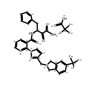 NC(=O)C(=O)C(Cc1ccccc1)NC(=O)c1cccnc1-n1ccc(CN2Cc3ccc(C(F)(F)F)cc3C2)n1.O=C(O)C(F)(F)F